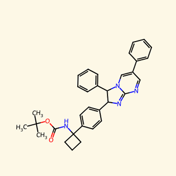 CC(C)(C)OC(=O)NC1(c2ccc(C3N=C4N=CC(c5ccccc5)=CN4C3c3ccccc3)cc2)CCC1